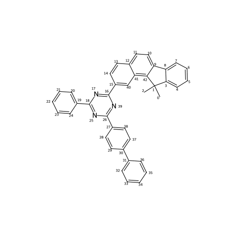 CC1(C)c2ccccc2-c2ccc3ccc(-c4nc(-c5ccccc5)nc(-c5ccc(-c6ccccc6)cc5)n4)cc3c21